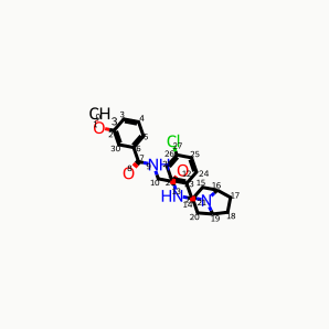 COc1cccc(C(=O)NCC(=O)NC2CC3CCC(C2)N3Cc2ccc(Cl)cc2)c1